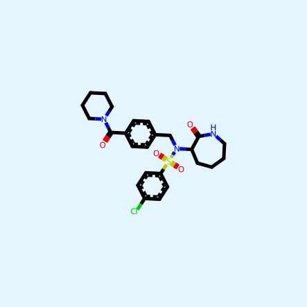 O=C1NCCCCC1N(Cc1ccc(C(=O)N2CCCCC2)cc1)S(=O)(=O)c1ccc(Cl)cc1